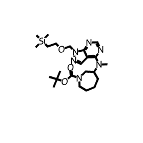 CN(c1ncnc2c1cnn2COCC[Si](C)(C)C)C1CCCCN(C(=O)OC(C)(C)C)C1